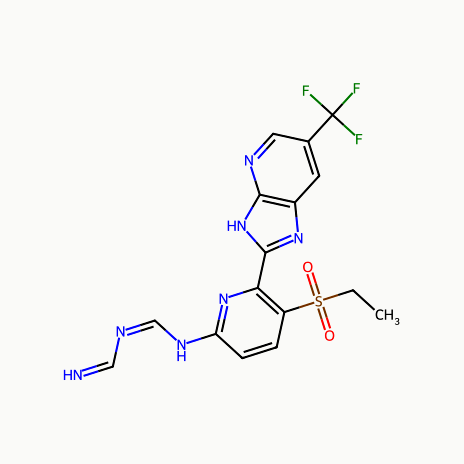 CCS(=O)(=O)c1ccc(N/C=N\C=N)nc1-c1nc2cc(C(F)(F)F)cnc2[nH]1